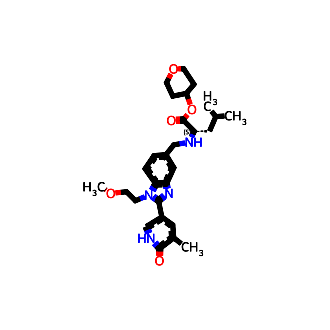 COCCn1c(-c2c[nH]c(=O)c(C)c2)nc2cc(CN[C@@H](CC(C)C)C(=O)OC3CCOCC3)ccc21